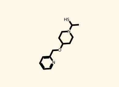 CC(S)N1CCC(OCc2ccccn2)CC1